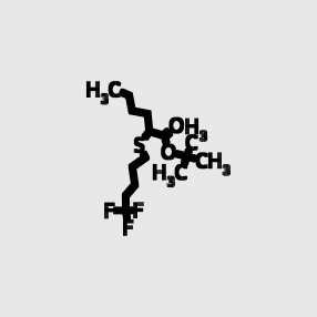 CCCCC(SCCCCC(F)(F)F)C(=O)OC(C)(C)C